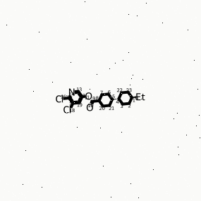 CC[C@H]1CC[C@H](C2CCC(C(=O)Oc3cnc(Cl)c(Cl)c3)CC2)CC1